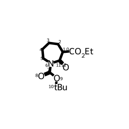 CCOC(=O)C1CCCCN(C(=O)OC(C)(C)C)C1=O